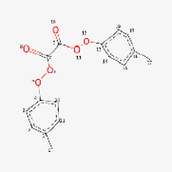 Cc1ccc(OOC(=O)C(=O)OOc2ccc(C)cc2)cc1